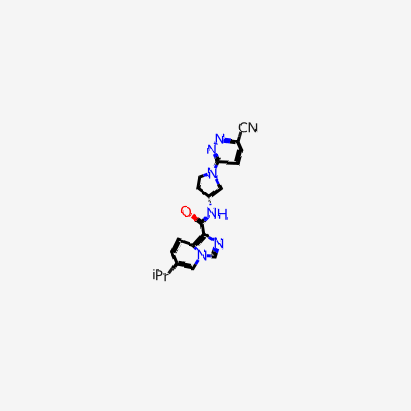 CC(C)c1ccc2c(C(=O)N[C@@H]3CCN(c4ccc(C#N)nn4)C3)ncn2c1